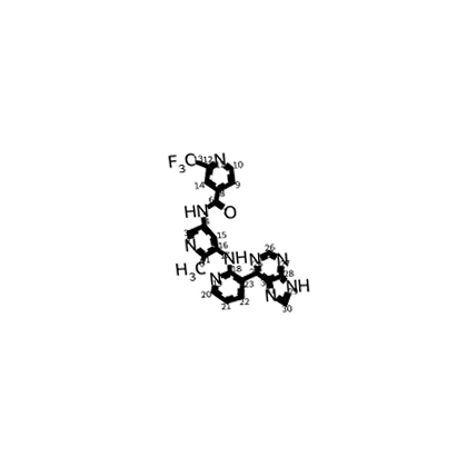 Cc1ncc(NC(=O)c2ccnc(C(F)(F)F)c2)cc1Nc1ncccc1-c1ncnc2[nH]cnc12